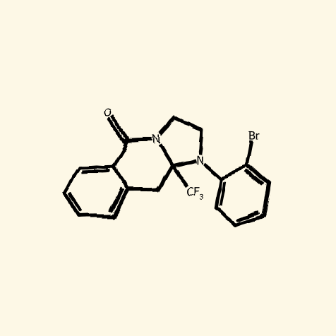 O=C1c2ccccc2CC2(C(F)(F)F)N1CCN2c1ccccc1Br